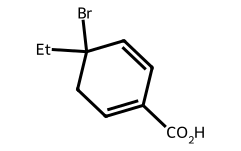 CCC1(Br)C=CC(C(=O)O)=CC1